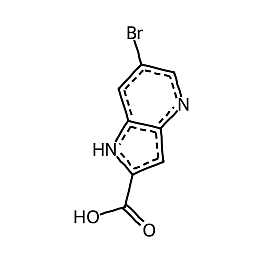 O=C(O)c1cc2ncc(Br)cc2[nH]1